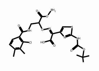 BOC(=O)C(CNC(=O)c1ccc(C)c(C)c1Cl)O/N=C(\C(=O)O)c1csc(NC(=O)OC(C)(C)C)n1